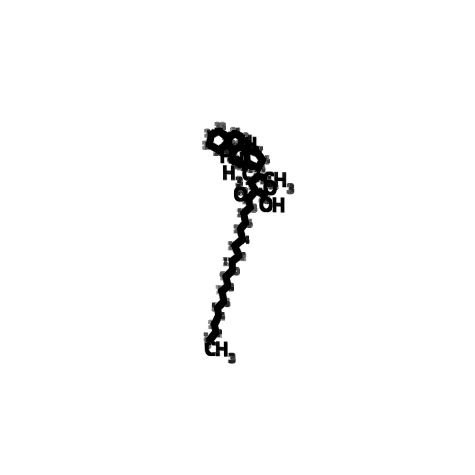 CCCCCCCCCCCCCCCCCCCC(=O)C(CC(C)[C@H]1CC[C@H]2[C@@H]3CCC4CCCC[C@]4(C)[C@H]3CC[C@]12C)C(=O)O